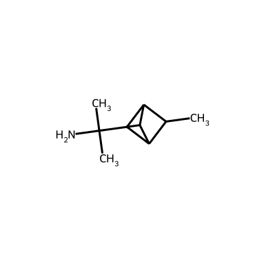 CC1C2CC1C2C(C)(C)N